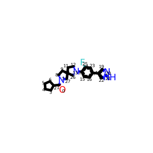 O=C(C1CCCC1)N1CCC2(CCN(c3ccc(-c4cn[nH]c4)cc3F)C2)C1